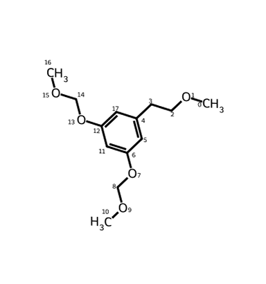 COCCc1cc(OCOC)cc(OCOC)c1